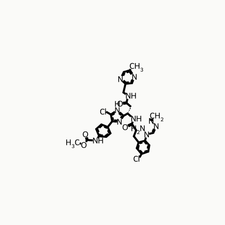 C=N/N=C\N(N)c1ccc(Cl)cc1CCC(=O)N[C@@H](CC(=O)NCc1cnc(C)cn1)c1nc(-c2ccc(NC(=O)OC)cc2)c(Cl)[nH]1